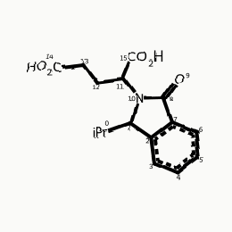 CC(C)C1c2ccccc2C(=O)N1C(CCC(=O)O)C(=O)O